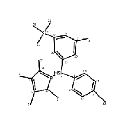 CC1=C(C)C(C)C([SiH](c2ccc(C)cc2)c2cc(C)cc([Si](C)(C)C)c2)=C1C